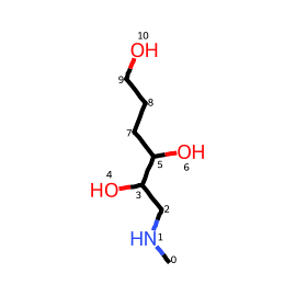 CNCC(O)C(O)CCCO